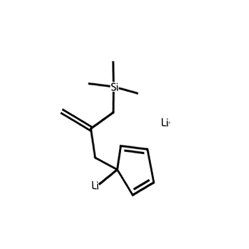 [Li].[Li][C]1(CC(=C)C[Si](C)(C)C)C=CC=C1